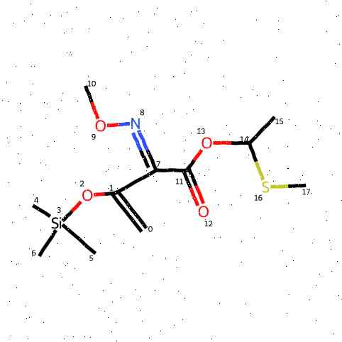 C=C(O[Si](C)(C)C)/C(=N\OC)C(=O)OC(C)SC